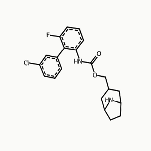 O=C(Nc1cccc(F)c1-c1cccc(Cl)c1)OCC1CC2CCC(C1)N2